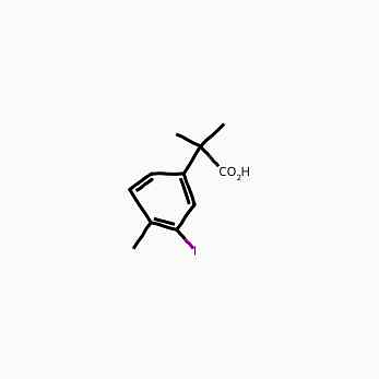 Cc1ccc(C(C)(C)C(=O)O)cc1I